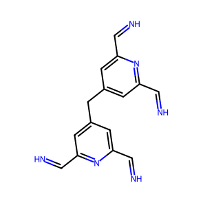 N=Cc1cc(Cc2cc(C=N)nc(C=N)c2)cc(C=N)n1